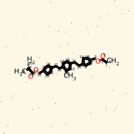 C=CC(=O)OCc1ccc(CCc2ccc(CCc3ccc(COC(=O)C(=C)C)cc3)c(C)c2)cc1